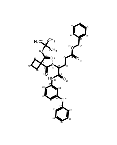 CC(C)(C)OC(=O)C1(C(=O)NC(CCC(=O)OCc2ccccc2)C(=O)Nc2cccc(Oc3ccccc3)c2)CCC1